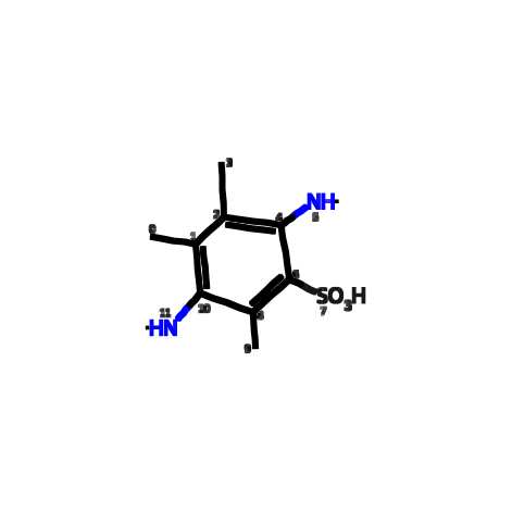 Cc1c(C)c([NH])c(S(=O)(=O)O)c(C)c1[NH]